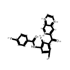 O=C(Nc1cc(F)cc(C(=O)c2cc3nccnc3cn2)c1F)c1ccc(F)cc1